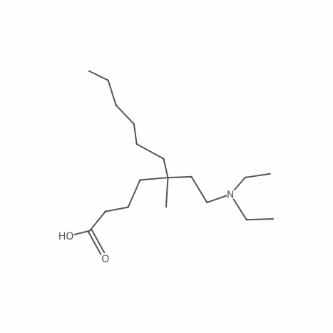 CCCCCCC(C)(CCCC(=O)O)CCN(CC)CC